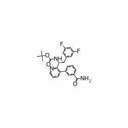 CC(C)(C)OC(=O)N[C@@H](Cc1cc(F)cc(F)c1)c1ncccc1-c1cccc(C(N)=O)c1